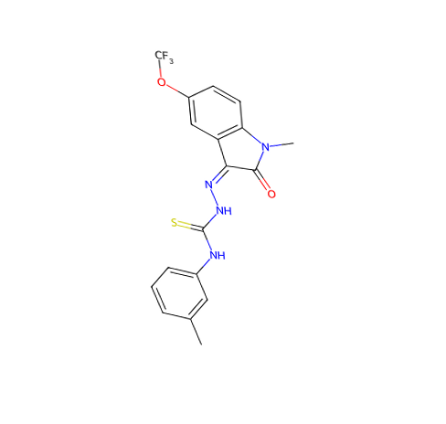 Cc1cccc(NC(=S)N/N=C2\C(=O)N(C)c3ccc(OC(F)(F)F)cc32)c1